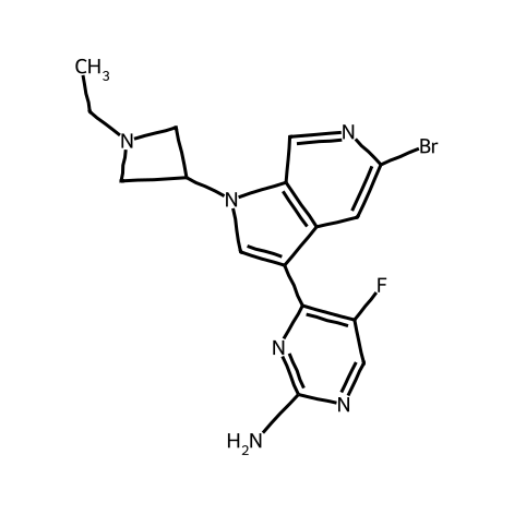 CCN1CC(n2cc(-c3nc(N)ncc3F)c3cc(Br)ncc32)C1